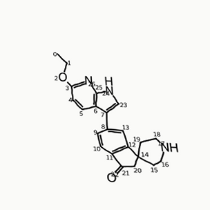 CCOc1ccc2c(-c3ccc4c(c3)C3(CCNCC3)CC4=O)c[nH]c2n1